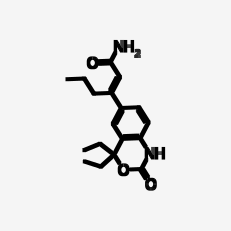 CCC/C(=C\C(N)=O)c1ccc2c(c1)C(CC)(CC)OC(=O)N2